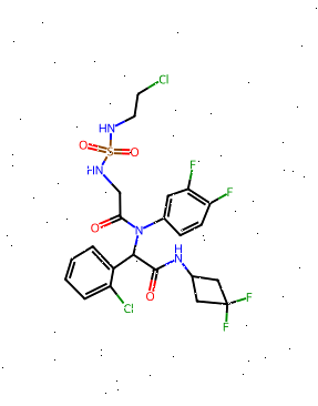 O=C(NC1CC(F)(F)C1)C(c1ccccc1Cl)N(C(=O)CNS(=O)(=O)NCCCl)c1ccc(F)c(F)c1